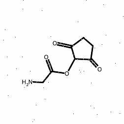 NCC(=O)OC1C(=O)CCC1=O